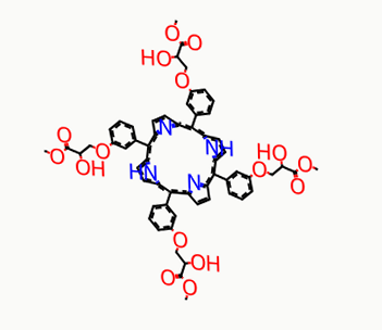 COC(=O)C(O)COc1cccc(-c2c3nc(c(-c4cccc(OCC(O)C(=O)OC)c4)c4ccc([nH]4)c(-c4cccc(OCC(O)C(=O)OC)c4)c4nc(c(-c5cccc(OCC(O)C(=O)OC)c5)c5ccc2[nH]5)C=C4)C=C3)c1